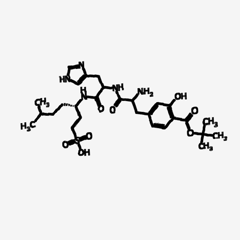 CC(C)CC[C@@H](CCS(=O)(=O)O)NC(=O)C(Cc1c[nH]cn1)NC(=O)C(N)Cc1ccc(C(=O)OC(C)(C)C)c(O)c1